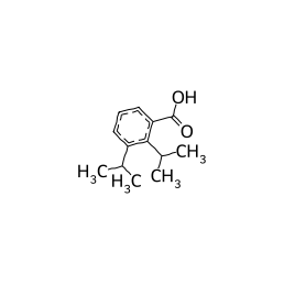 CC(C)c1cccc(C(=O)O)c1C(C)C